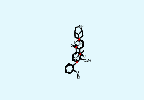 CCOc1ccccc1CNC(=O)c1ccc(C2C3CNC2CC(NC(=O)c2cccc(OC)c2C)C3)nc1